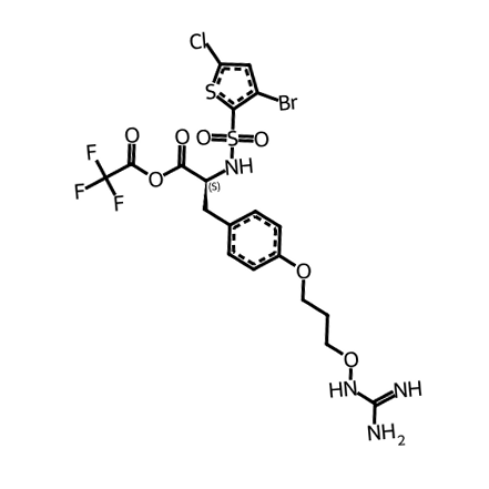 N=C(N)NOCCCOc1ccc(C[C@H](NS(=O)(=O)c2sc(Cl)cc2Br)C(=O)OC(=O)C(F)(F)F)cc1